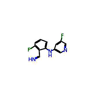 N=Cc1c(F)cccc1Nc1cncc(F)c1